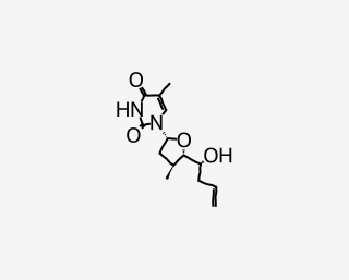 C=CC[C@@H](O)[C@H]1O[C@@H](n2cc(C)c(=O)[nH]c2=O)C[C@@H]1C